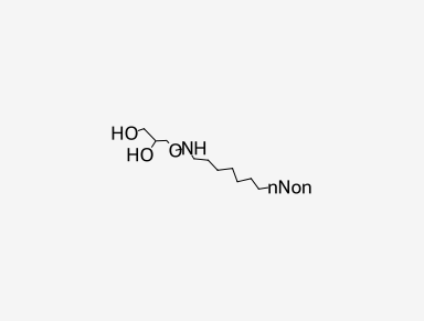 CCCCCCCCCCCCCCCCNOCC(O)CO